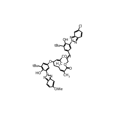 COc1ccc2nn(-c3cc(OC(C=C(C)C(=O)O)CCC=C(C)C(=O)OCCCc4cc(-n5nc6ccc(Cl)cc6n5)c(O)c(C(C)(C)C)c4)cc(C(C)(C)C)c3O)nc2c1